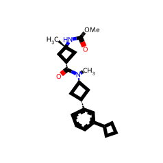 COC(=O)N[C@]1(C)C[C@H](C(=O)N(C)[C@H]2C[C@@H](c3cccc(C4CCC4)c3)C2)C1